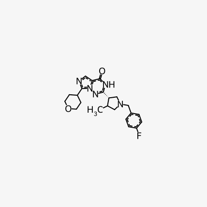 CC1CN(Cc2ccc(F)cc2)C[C@H]1c1nn2c(C3CCOCC3)ncc2c(=O)[nH]1